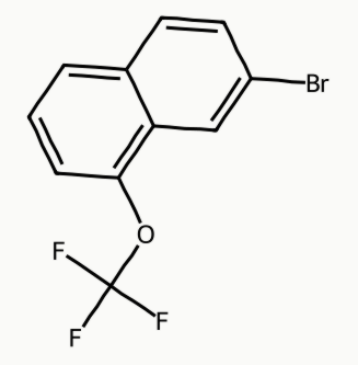 FC(F)(F)Oc1cccc2ccc(Br)cc12